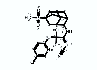 CC(C)(Oc1ccc(Cl)cn1)/C(=N\C#N)NC1C2CC3CC1CC(S(C)(=O)=O)(C3)C2